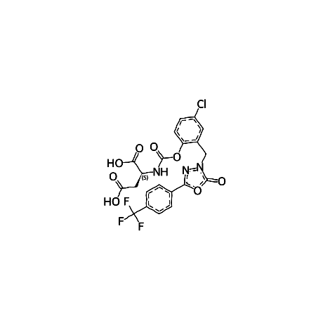 O=C(O)C[C@H](NC(=O)Oc1ccc(Cl)cc1Cn1nc(-c2ccc(C(F)(F)F)cc2)oc1=O)C(=O)O